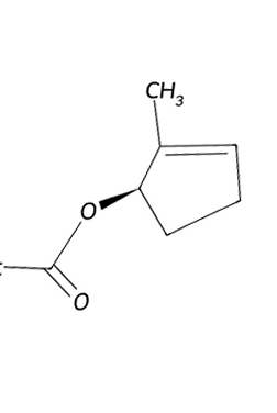 CCC(=O)O[C@@H]1CCC=C1C